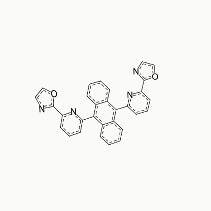 c1cc(-c2ncco2)nc(-c2c3ccccc3c(-c3cccc(-c4ncco4)n3)c3ccccc23)c1